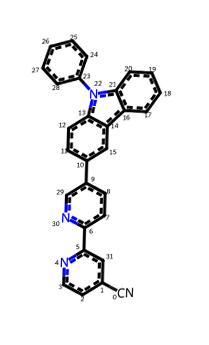 N#Cc1ccnc(-c2ccc(-c3ccc4c(c3)c3ccccc3n4-c3ccccc3)cn2)c1